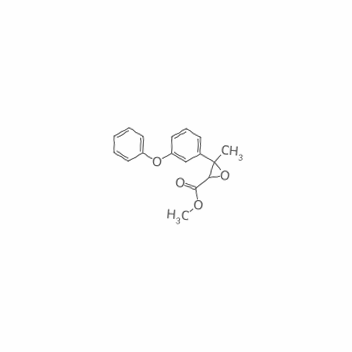 COC(=O)C1OC1(C)c1cccc(Oc2ccccc2)c1